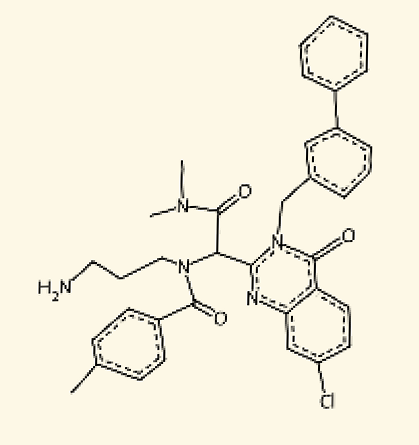 Cc1ccc(C(=O)N(CCCN)C(C(=O)N(C)C)c2nc3cc(Cl)ccc3c(=O)n2Cc2cccc(-c3ccccc3)c2)cc1